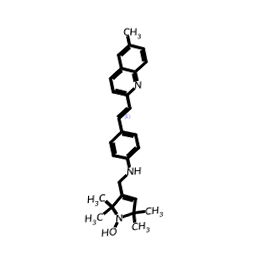 Cc1ccc2nc(/C=C/c3ccc(NCC4=CC(C)(C)N(O)C4(C)C)cc3)ccc2c1